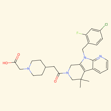 CC1(C)CN(C(=O)CC2CCN(CC(=O)O)CC2)Cc2c1c1cccnc1n2Cc1ccc(Cl)cc1F